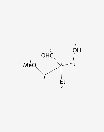 CCC(C=O)(CO)COC